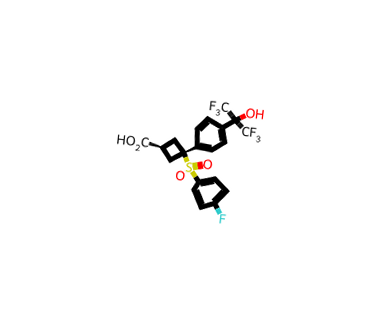 O=C(O)[C@H]1C[C@](c2ccc(C(O)(C(F)(F)F)C(F)(F)F)cc2)(S(=O)(=O)c2ccc(F)cc2)C1